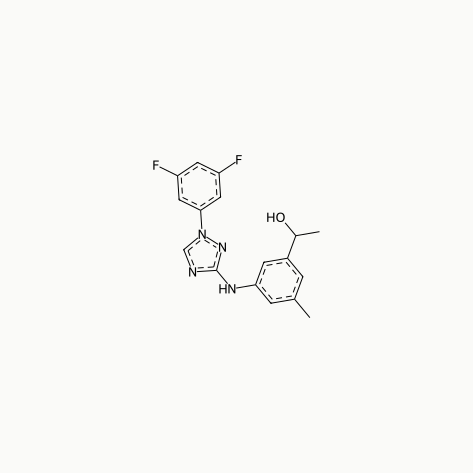 Cc1cc(Nc2ncn(-c3cc(F)cc(F)c3)n2)cc(C(C)O)c1